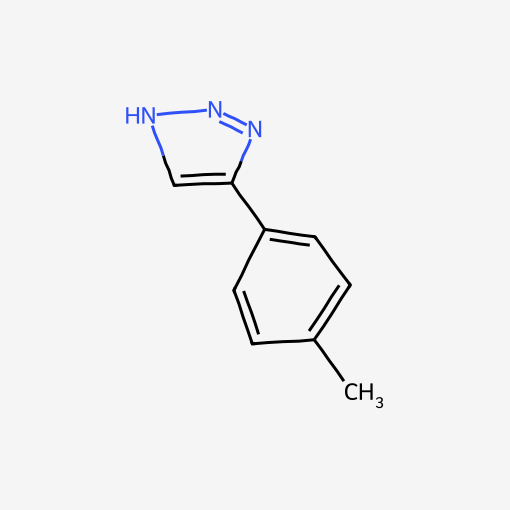 Cc1ccc(-c2c[nH]nn2)cc1